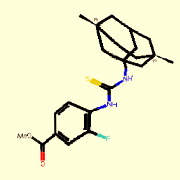 COC(=O)c1ccc(NC(=S)NC23CC4C[C@@](C)(C2)C[C@](C)(C4)C3)c(F)c1